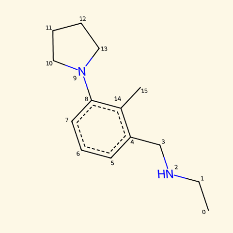 CCNCc1cccc(N2CCCC2)c1C